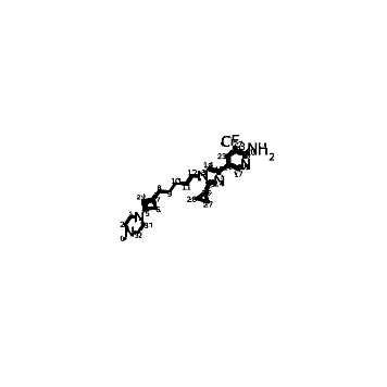 CN1CCN(C23CC(CCCCCn4cc(-c5cnc(N)c(C(F)(F)F)c5)nc4C4CC4)(C2)C3)CC1